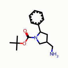 CC(C)(C)OC(=O)N1CC(CN)CC1c1ccccc1